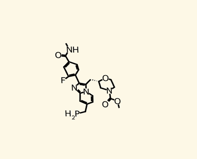 CNC(=O)c1ccc(-c2nc3cc(CP)ccn3c2C[C@H]2CN(C(=O)OC)CCO2)c(F)c1